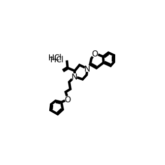 C=C(C)C1CN(C2=Cc3ccccc3OC2)CCN1CCCOc1ccccc1.Cl.Cl